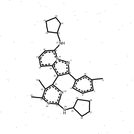 Cc1cccc(-c2nn3c(NC4CCCC4)cccc3c2-c2nc(NC3CCCC3)nc(C)c2C)c1